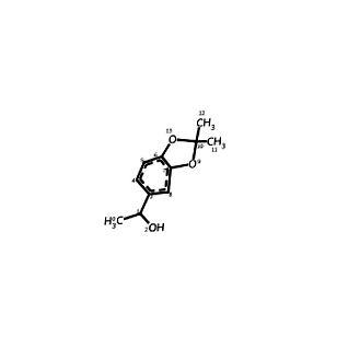 CC(O)c1ccc2c(c1)OC(C)(C)O2